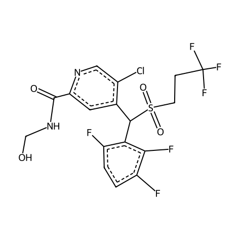 O=C(NCO)c1cc(C(c2c(F)ccc(F)c2F)S(=O)(=O)CCC(F)(F)F)c(Cl)cn1